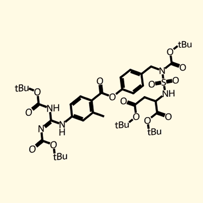 Cc1cc(NC(=NC(=O)OC(C)(C)C)NC(=O)OC(C)(C)C)ccc1C(=O)Oc1ccc(CN(C(=O)OC(C)(C)C)S(=O)(=O)NC(CC(=O)OC(C)(C)C)C(=O)OC(C)(C)C)cc1